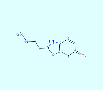 O=CNCCC1NC2=C(CC(=O)C=C2)S1